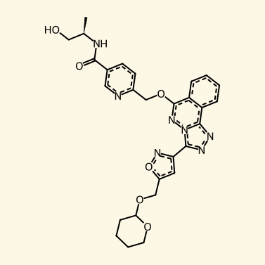 C[C@H](CO)NC(=O)c1ccc(COc2nn3c(-c4cc(COC5CCCCO5)on4)nnc3c3ccccc23)nc1